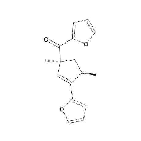 C[C@@H]1C[C@](C)(C(=O)c2ccco2)C=C1c1ccco1